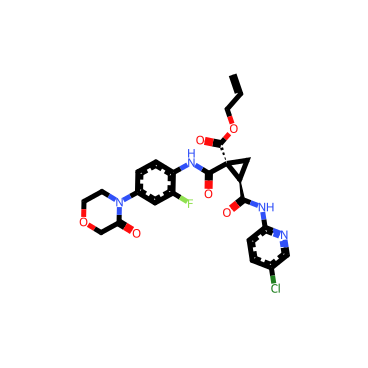 C=CCOC(=O)[C@]1(C(=O)Nc2ccc(N3CCOCC3=O)cc2F)C[C@H]1C(=O)Nc1ccc(Cl)cn1